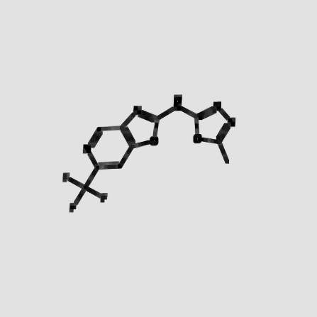 Cc1nnc(Nc2nc3cnc(C(F)(F)F)cc3o2)o1